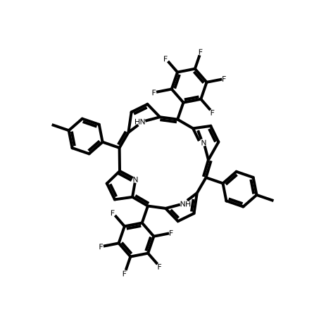 Cc1ccc(-c2c3nc(c(-c4c(F)c(F)c(F)c(F)c4F)c4ccc([nH]4)c(-c4ccc(C)cc4)c4nc(c(-c5c(F)c(F)c(F)c(F)c5F)c5ccc2[nH]5)C=C4)C=C3)cc1